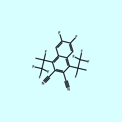 CC(F)(c1c(C#N)c(C#N)c(C(C)(F)C(F)(F)F)c2cc(F)c(F)cc12)C(F)(F)F